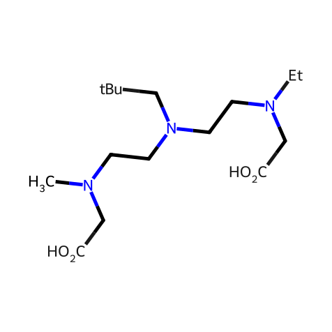 CCN(CCN(CCN(C)CC(=O)O)CC(C)(C)C)CC(=O)O